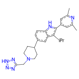 Cc1cc(-c2[nH]c3ccc(C4CCN(Cc5nn[nH]n5)CC4)cc3c2C(C)C)cc(C)n1